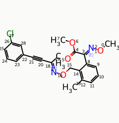 CO/N=C(/C(=O)OC)c1cccc(C)c1CO/N=C(\C)C#Cc1cccc(Cl)c1